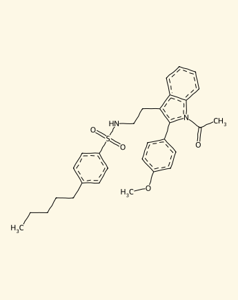 CCCCCc1ccc(S(=O)(=O)NCCc2c(-c3ccc(OC)cc3)n(C(C)=O)c3ccccc23)cc1